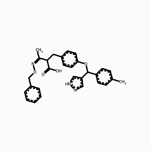 CC(=NOCc1ccccc1)C(Cc1ccc(OC(c2ccc(C)cc2)c2cn[nH]c2)cc1)C(=O)O